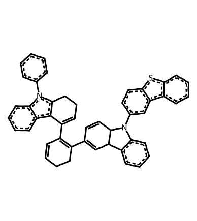 C1=CC(C2=CCCc3c2c2ccccc2n3-c2ccccc2)=C(C2=CC3c4ccccc4N(c4ccc5sc6ccccc6c5c4)C3C=C2)CC1